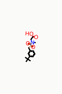 CN(CC(=O)O)S(=O)(=O)Cc1cccc(C(C)(C)C)c1